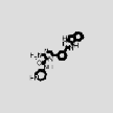 Nc1ncc(-c2cccc(C3=N[C@@H]4c5ccccc5C[C@@H]4O3)c2)nc1C(=O)NC1CCCNCC1